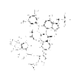 Cn1nc(NS(C)(=O)=O)c2c(Cl)ccc(-n3c([C@H](Cc4cc(F)cc(F)c4)NC(=O)Cn4nc(C(F)F)c5c4C(F)(F)[C@@H]4C[C@H]54)nc4cc(-c5cnn(C6CC6)c5)ccc4c3=O)c21